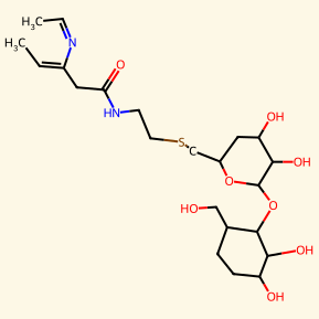 C/C=N\C(=C/C)CC(=O)NCCSCC1CC(O)C(O)C(OC2C(CO)CCC(O)C2O)O1